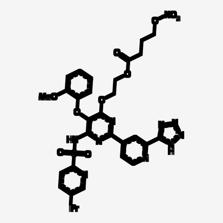 COc1ccccc1Oc1c(NS(=O)(=O)c2ccc(C(C)C)cn2)nc(-c2ccnc(-c3nnn[nH]3)c2)nc1OCCOC(=O)CCCO[N+](=O)[O-]